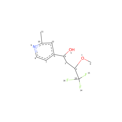 COC(CC(O)c1ccnc(C)c1)C(F)(F)F